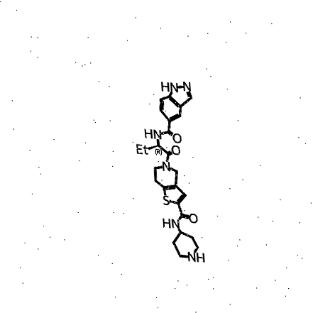 CC[C@@H](NC(=O)c1ccc2[nH]ncc2c1)C(=O)N1CCc2sc(C(=O)NC3CCNCC3)cc2C1